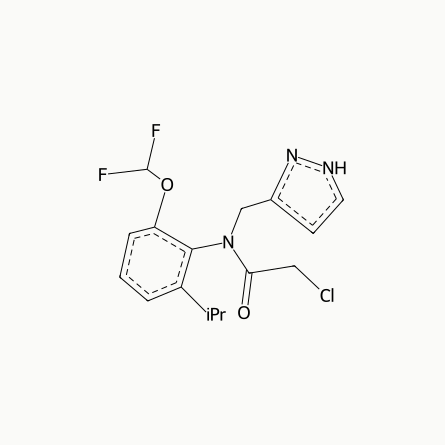 CC(C)c1cccc(OC(F)F)c1N(Cc1cc[nH]n1)C(=O)CCl